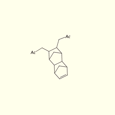 CC(=O)CC1C(CC(C)=O)C2CC1C1C3C=CC(C3)C21